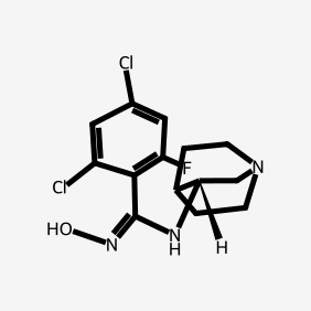 O/N=C(/N[C@H]1CN2CCC1CC2)c1c(F)cc(Cl)cc1Cl